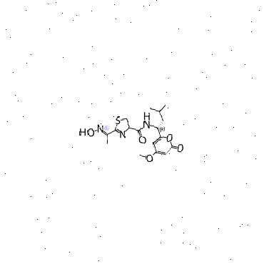 COc1cc([C@@H](CC(C)C)NC(=O)C2CSC(/C(C)=N/O)=N2)oc(=O)c1